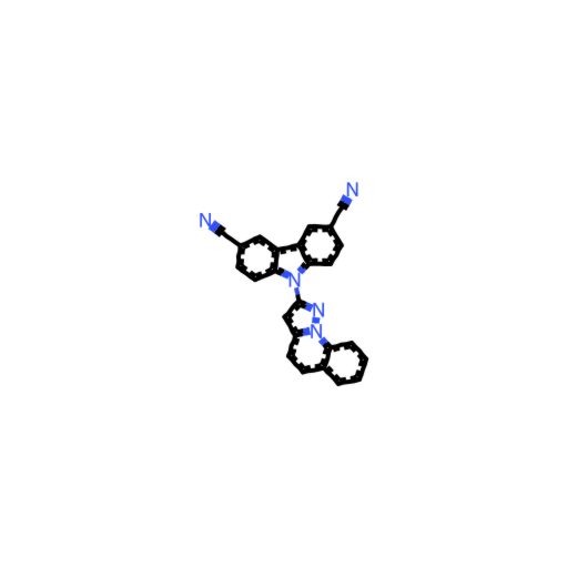 N#Cc1ccc2c(c1)c1cc(C#N)ccc1n2-c1cc2ccc3ccccc3n2n1